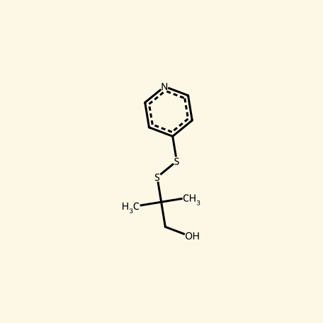 CC(C)(CO)SSc1ccncc1